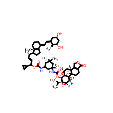 C=C1/C(=C\C=C2/CCC[C@@]3(C)C2CCC3[C@@H](C)/C=C/C(OC(=O)NC2CC(C)(C)CC(C)(NC(=O)O[C@@H]3[C@@]4(C(C)C)O[C@H]4[C@@H]4O[C@]45[C@]34O[C@H]4C[C@H]3C4=C(CC[C@@]35C)C(=O)OC4)C2)C2CC2)C[C@@H](O)C[C@@H]1O